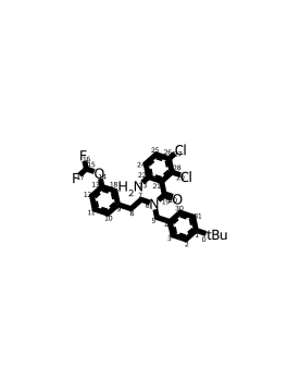 CC(C)(C)c1ccc(CN(CCc2cccc(OC(F)F)c2)C(=O)c2c(N)ccc(Cl)c2Cl)cc1